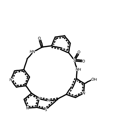 O=C1NCc2cncc(c2)-c2cnc3sc(nn23)-c2cnc(O)c(c2)NS(=O)(=O)c2cccc1c2